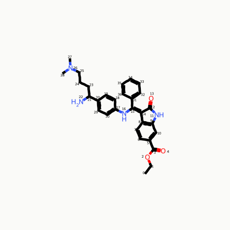 CCOC(=O)c1ccc2c(c1)NC(=O)C2=C(Nc1ccc(C(N)CCCN(C)C)cc1)c1ccccc1